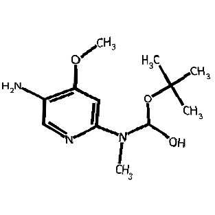 COc1cc(N(C)C(O)OC(C)(C)C)ncc1N